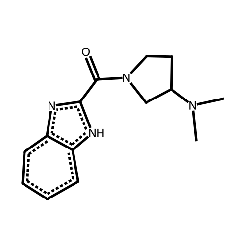 CN(C)C1CCN(C(=O)c2nc3ccccc3[nH]2)C1